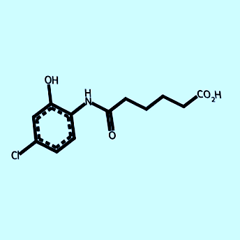 O=C(O)CCCCC(=O)Nc1ccc(Cl)cc1O